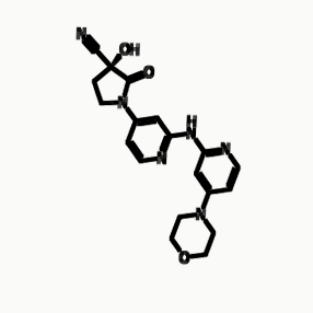 N#C[C@@]1(O)CCN(c2ccnc(Nc3cc(N4CCOCC4)ccn3)c2)C1=O